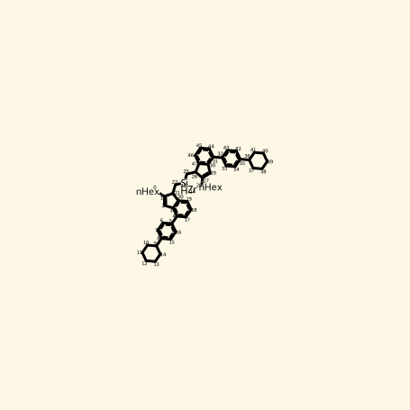 CCCCCCC1=Cc2c(-c3ccc(C4CCCCC4)cc3)cccc2C1C[SiH]([Zr])CC1C(CCCCCC)=Cc2c(-c3ccc(C4CCCCC4)cc3)cccc21